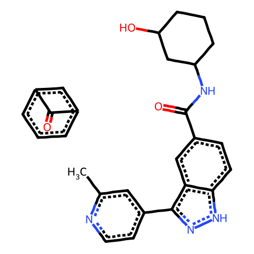 Cc1cc(-c2n[nH]c3ccc(C(=O)NC4CCCC(O)C4)cc23)ccn1.O=C1c2cccc1c2